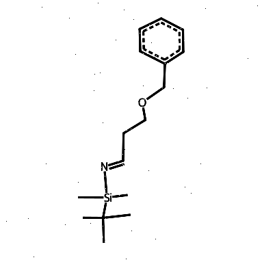 CC(C)(C)[Si](C)(C)N=CCCOCc1ccccc1